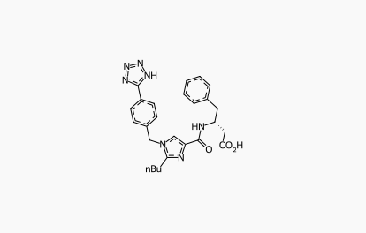 CCCCc1nc(C(=O)N[C@@H](CC(=O)O)Cc2ccccc2)cn1Cc1ccc(-c2nnn[nH]2)cc1